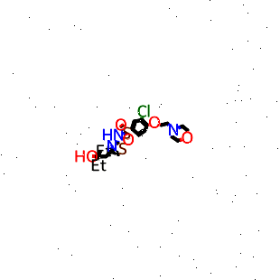 CCC(O)(CC)Cc1csc(NS(=O)(=O)c2ccc(OCCN3CCOCC3)c(Cl)c2)n1